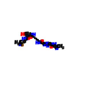 Cc1ncsc1-c1ccc(CNC(=O)[C@@H]2C[C@@H](O)CN2C(=O)C(NC(=O)CCCCCCCCCNC(=O)CC2CCN(Cc3nc4cc(NC(=O)c5ccc6c(cnn6C)c5)ccc4[nH]3)C2)C(C)(C)C)cc1